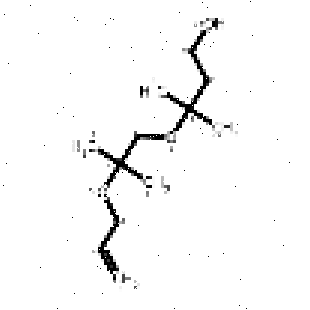 C=CCOC(C)(C)COC(C)(C)CCO